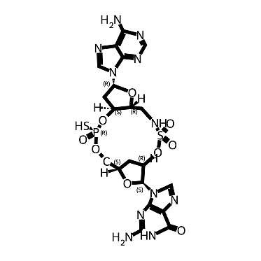 Nc1nc2c(ncn2[C@H]2O[C@@H]3CO[P@@](=O)(S)O[C@H]4C[C@H](n5cnc6c(N)ncnc65)O[C@@H]4CNS(=O)(=O)O[C@@H]2C3)c(=O)[nH]1